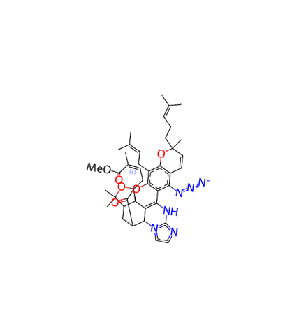 COC(=O)/C(C)=C\CC12OC(C)(C)C3CC(C1=O)C1C4=C(Nc5nccn51)c1c(N=[N+]=[N-])c5c(c(CC=C(C)C)c1OC432)OC(C)(CCC=C(C)C)C=C5